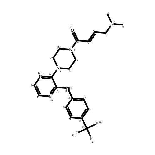 CN(C)CC=CC(=O)N1CCN(c2nccnc2Nc2ccc(C(F)(F)F)cc2)CC1